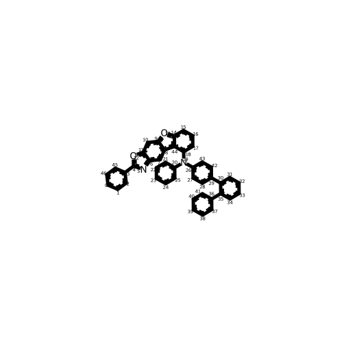 c1ccc(-c2nc3cc4c(cc3o2)oc2cccc(N(c3ccccc3)c3ccc(-c5ccccc5-c5ccccc5)cc3)c24)cc1